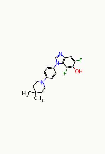 CC1(C)CCN(c2ccc(-n3cnc4cc(F)c(O)c(F)c43)cc2)CC1